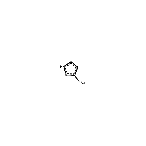 [CH2]Sc1cc[nH]n1